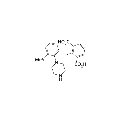 CSc1ccccc1N1CCNCC1.Cc1c(C(=O)O)cccc1C(=O)O